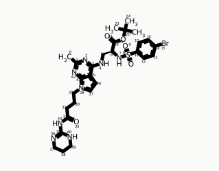 Cc1nc(NC[C@H](NS(=O)(=O)c2ccc(Br)cc2)C(=O)OC(C)(C)C)c2ccn(CCCC(=O)NC3=NCCCN3)c2n1